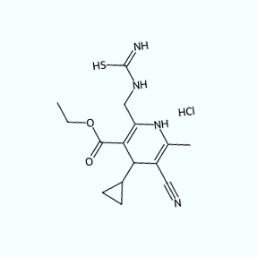 CCOC(=O)C1=C(CNC(=N)S)NC(C)=C(C#N)C1C1CC1.Cl